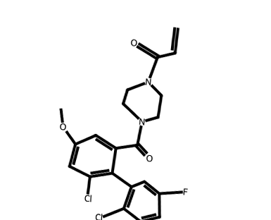 C=CC(=O)N1CCN(C(=O)c2cc(OC)cc(Cl)c2-c2cc(F)ccc2Cl)CC1